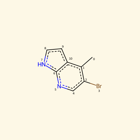 Cc1c(Br)cnc2[nH]ccc12